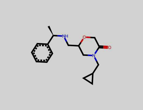 C[C@@H](NCC1CN(CC2CC2)C(=O)CO1)c1ccccc1